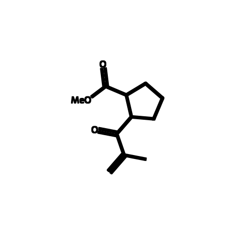 C=C(C)C(=O)C1CCCC1C(=O)OC